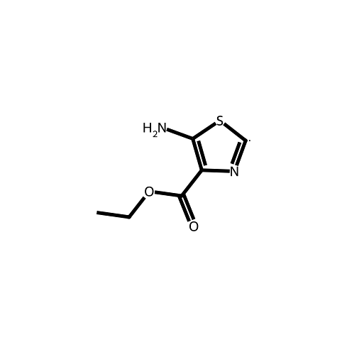 CCOC(=O)c1n[c]sc1N